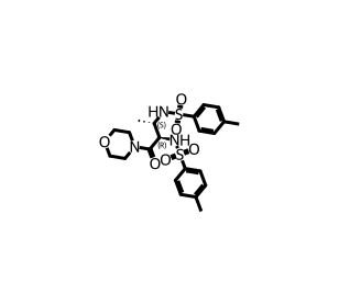 Cc1ccc(S(=O)(=O)N[C@@H](C)[C@@H](NS(=O)(=O)c2ccc(C)cc2)C(=O)N2CCOCC2)cc1